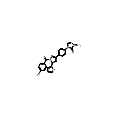 Cc1ccc(C(=O)N2N=C(c3ccc(-n4cnn(C)c4=O)cc3)CC2c2ccco2)cc1